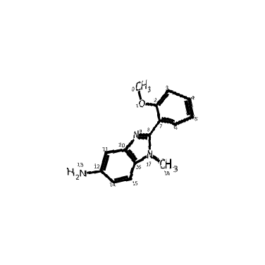 COc1ccccc1-c1nc2cc(N)ccc2n1C